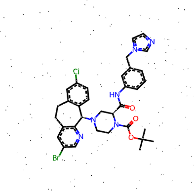 CC(C)(C)OC(=O)N1CCN([C@@H]2c3ccc(Cl)cc3CCc3cc(Br)cnc32)C[C@H]1C(=O)Nc1cccc(Cn2ccnc2)c1